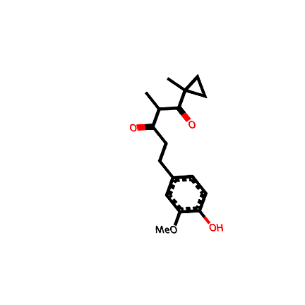 COc1cc(CCC(=O)C(C)C(=O)C2(C)CC2)ccc1O